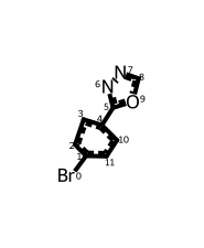 Brc1ccc(-c2nn[c]o2)cc1